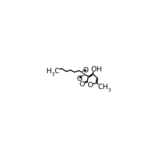 CCCCCCS(=O)(=O)c1c(O)cc(C)oc1=O